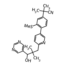 CSc1cc(C(C)(C)C#N)ccc1-c1ccc(CC(C)(C)C(O)c2cncnc2)nc1